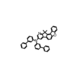 CC1(C)c2ncc(N(c3cccc(-c4ccccc4)c3)c3cccc(-c4ccccc4)c3)cc2-c2ccc3oc4ccccc4c3c21